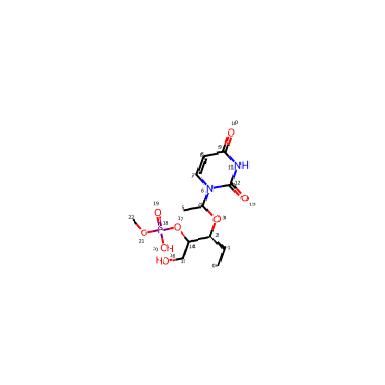 CC[C@H](OC(C)n1ccc(=O)[nH]c1=O)C(CO)OP(=O)(O)OC